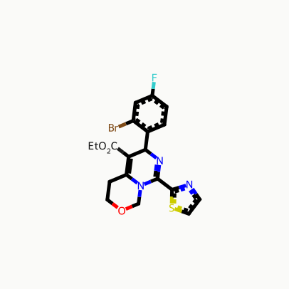 CCOC(=O)C1=C2CCOCN2C(c2nccs2)=NC1c1ccc(F)cc1Br